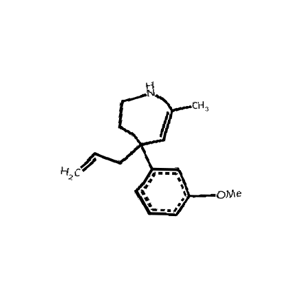 C=CCC1(c2cccc(OC)c2)C=C(C)NCC1